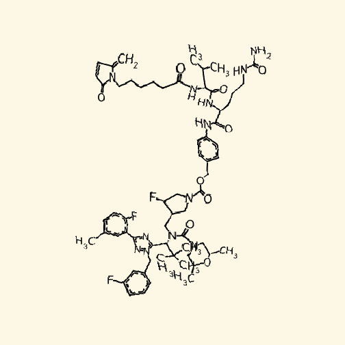 C=C1C=CC(=O)N1CCCCCC(=O)N[C@H](C(=O)N[C@@H](CCCNC(N)=O)C(=O)Nc1ccc(COC(=O)N2C[C@@H](CN(C(=O)N3C[C@@H](C)O[C@@H](C)C3)[C@@H](c3nc(-c4cc(C)ccc4F)nn3Cc3cccc(F)c3)C(C)(C)C)[C@@H](F)C2)cc1)C(C)C